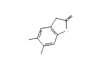 O=C1Cc2cc(S)c(Cl)cc2N1